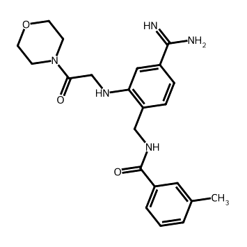 Cc1cccc(C(=O)NCc2ccc(C(=N)N)cc2NCC(=O)N2CCOCC2)c1